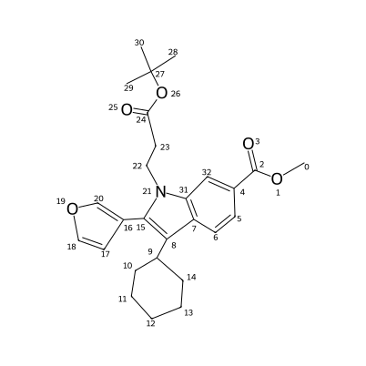 COC(=O)c1ccc2c(C3CCCCC3)c(-c3ccoc3)n(CCC(=O)OC(C)(C)C)c2c1